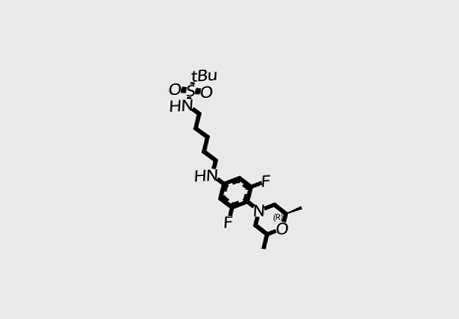 CC1CN(c2c(F)cc(NCCCCCNS(=O)(=O)C(C)(C)C)cc2F)C[C@@H](C)O1